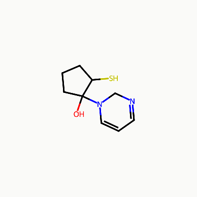 OC1(N2C=CC=NC2)CCCC1S